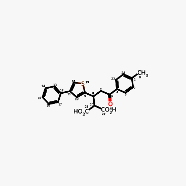 Cc1ccc(C(=O)CC(c2cc(-c3ccccc3)cs2)C(C(=O)O)C(=O)O)cc1